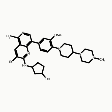 CCc1cc2c(N)ncc(-c3ccc(N4CCC(N5CCN(C)CC5)CC4)c(OC)c3)c2nc1NC1CCC(O)C1